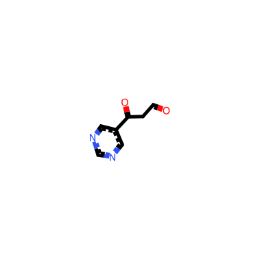 O=CCC(=O)c1cncnc1